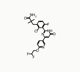 CC(C)(Cc1ccc(F)c(-c2nc(-c3ccc(OCC(F)F)nc3)cc(=O)[nH]2)c1Cl)C(N)=O